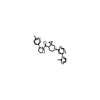 Cc1ccc([C@@H]2CCON2C(=O)C2CCN(c3cc(-n4ccnc4C)ncn3)CC23CC3)cn1